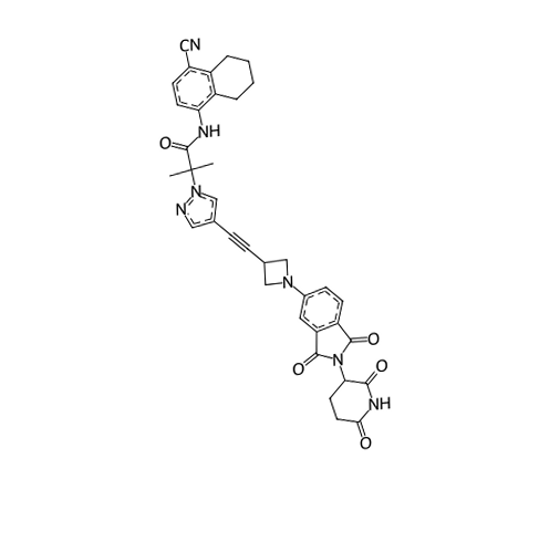 CC(C)(C(=O)Nc1ccc(C#N)c2c1CCCC2)n1cc(C#CC2CN(c3ccc4c(c3)C(=O)N(C3CCC(=O)NC3=O)C4=O)C2)cn1